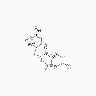 CCC(C/C=C(\C)O)CC1COC2=CC(O)CC=C2C1=O